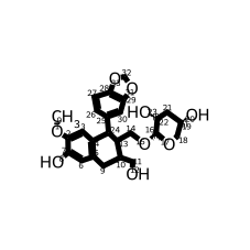 COc1cc2c(cc1O)CC(CO)C(CO[C@@H]1OC[C@@H](O)C[C@H]1O)C2c1ccc2c(c1)OCO2